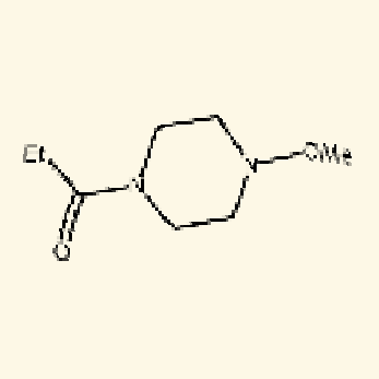 [CH2]CC(=O)N1CCN(OC)CC1